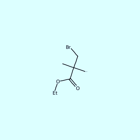 [CH2]C(C)(CBr)C(=O)OCC